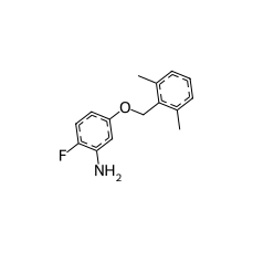 Cc1cccc(C)c1COc1ccc(F)c(N)c1